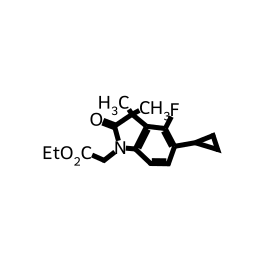 CCOC(=O)CN1C(=O)C(C)(C)c2c1ccc(C1CC1)c2F